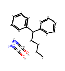 CCCCC(c1ccccc1)c1ccccc1.N=C=O.N=C=O